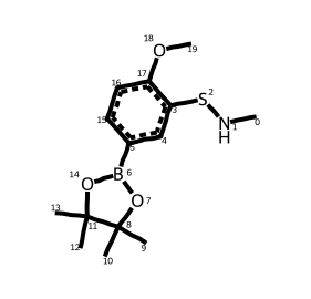 CNSc1cc(B2OC(C)(C)C(C)(C)O2)ccc1OC